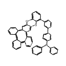 c1ccc(N(c2ccccc2)c2ccc(-c3cccc(-c4cccc5oc6cc7c8ccccc8c8ccccc8c8ccccc8c7cc6oc45)c3)cc2)cc1